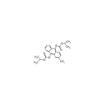 Cc1ccc2c(OC(=O)OC(C)C)c3ccccc3c(OC(=O)OC(C)C)c2c1